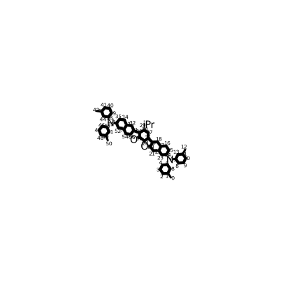 Cc1cccc(N(c2cccc(C)c2)c2ccc3cc4c(cc3c2)oc2c4cc(C(C)C)c3c4cc5ccc(N(c6cccc(C)c6)c6cccc(C)c6)cc5cc4oc23)c1